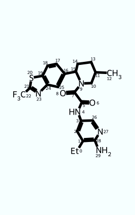 CCc1cc(NC(=O)C(=O)N2CC(C)CCC2c2ccc3sc(C(F)(F)F)nc3c2)cnc1N